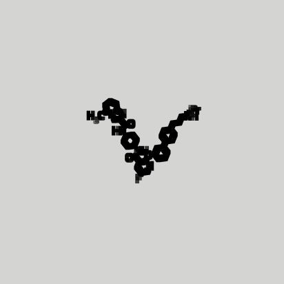 Cc1cccc2nc(C(=O)N[C@H]3CC[C@@H](NC(=O)c4cc(F)cnc4Oc4cccc(-c5ccc(CCCNC(C)C)cc5)c4)CC3)cn12